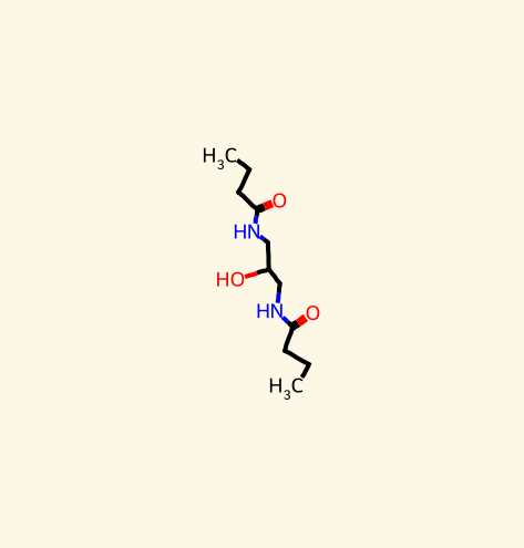 CCCC(=O)NCC(O)CNC(=O)CCC